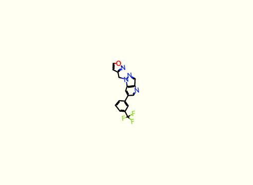 FC(F)(F)c1cccc(-c2cnc3cnn(Cc4ccon4)c3c2)c1